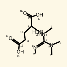 CN=C(NC)N(C)C.NC(CCC(=O)O)C(=O)O